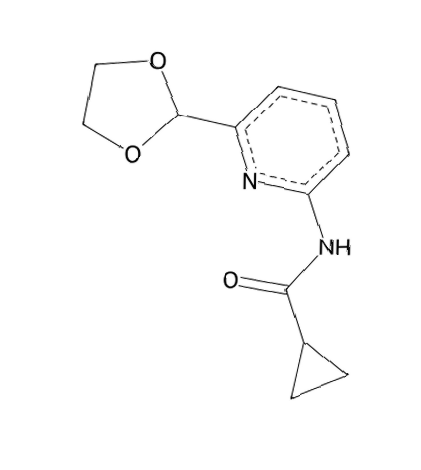 O=C(Nc1cccc(C2OCCO2)n1)C1CC1